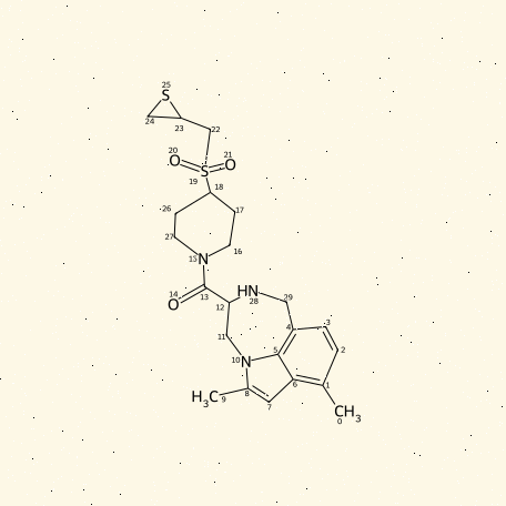 Cc1ccc2c3c1cc(C)n3CC(C(=O)N1CCC(S(=O)(=O)CC3CS3)CC1)NC2